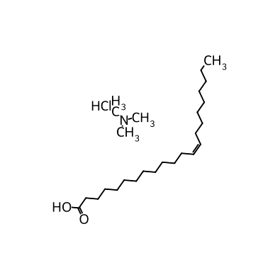 CCCCCCCC/C=C\CCCCCCCCCCCC(=O)O.CN(C)C.Cl